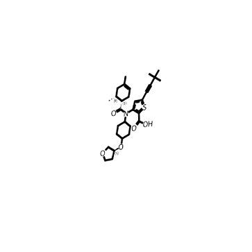 CC1=CC[C@H](C(=O)N(c2cc(C#CC(C)(C)C)sc2C(=O)O)C2CCC(O[C@H]3CCOC3)CC2)[C@H](C)C1